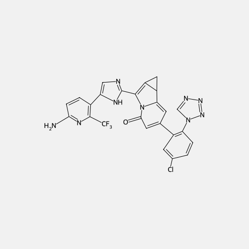 Nc1ccc(-c2cnc(C3=C4CC4c4cc(-c5cc(Cl)ccc5-n5cnnn5)cc(=O)n43)[nH]2)c(C(F)(F)F)n1